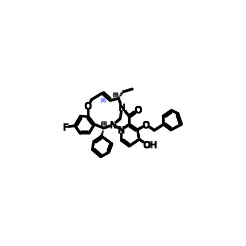 CC[C@H]1/C=C/COc2cc(F)ccc2[C@@H](c2ccccc2)N2CN1C(=O)C1=C(OCc3ccccc3)C(O)C=CN12